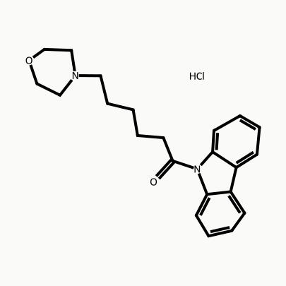 Cl.O=C(CCCCCN1CCOCC1)n1c2ccccc2c2ccccc21